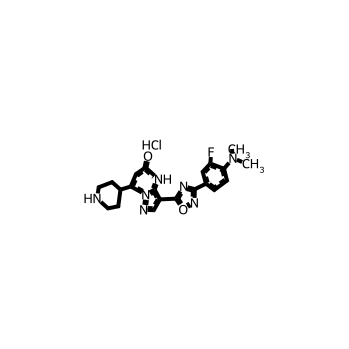 CN(C)c1ccc(-c2noc(-c3cnn4c(C5CCNCC5)cc(=O)[nH]c34)n2)cc1F.Cl